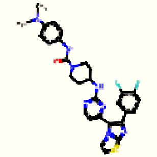 CN(C)c1ccc(NC(=O)N2CCC(Nc3nccc(-c4c(-c5ccc(F)c(F)c5)nc5sccn45)n3)CC2)cc1